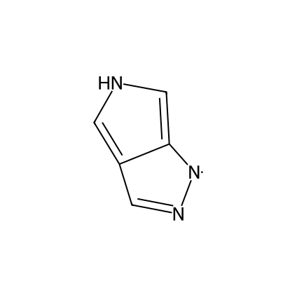 C1=N[N]c2c[nH]cc21